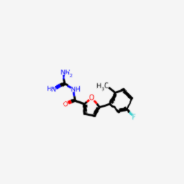 Cc1ccc(F)cc1-c1ccc(C(=O)NC(=N)N)o1